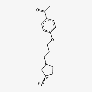 CC(=O)c1ccc(OCCCN2CC[C@@H](N)C2)cc1